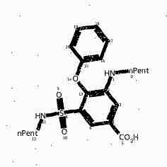 CCCCCNc1cc(C(=O)O)cc(S(=O)(=O)NCCCCC)c1Oc1ccccc1